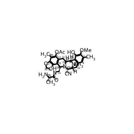 COc1c(C)cc2c(c1O)[C@@H]1[C@@H]3Cc4c(OC(C)=O)c(C)c5c(c4[C@H](CNC(=O)[C@H](C)N)N3[C@@H](C#N)[C@@H](C2)N1C)OCO5